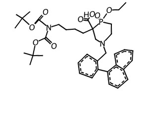 CCOP1(=O)CCN(Cc2ccccc2-c2cccc3ccccc23)CC1(CCCCN(C(=O)OC(C)(C)C)C(=O)OC(C)(C)C)C(=O)O